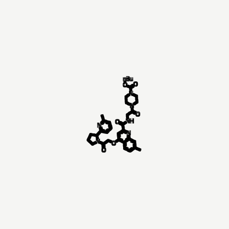 CCCCOC(=O)N1CCN(C(=O)CNC(=O)c2cc(OCC(=O)N3CCCC3c3cccc(C)n3)c3ccc(C)cc3n2)CC1